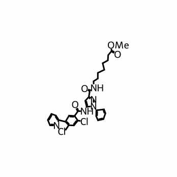 COC(=O)CCCCCCCNC(=O)c1cc(NC(=O)c2cc(-c3ccccn3)c(Cl)cc2Cl)n(-c2ccccc2)n1